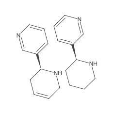 C1=CC[C@@H](c2cccnc2)NC1.c1cncc([C@@H]2CCCCN2)c1